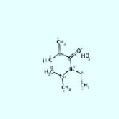 C=C(C)C(=O)N(CC)N(C)C.Cl